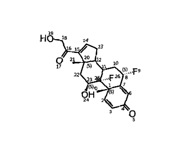 C[C@]12C=CC(=O)C=C1[C@@H](F)CC1C3CC=C(C(=O)CO)[C@@]3(C)C[C@H](O)[C@@]12F